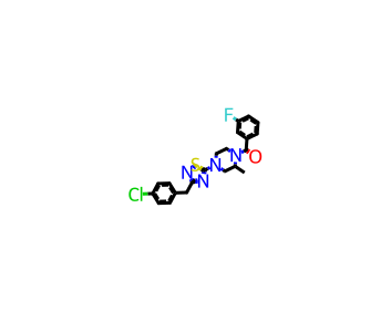 CC1CN(c2nc(Cc3ccc(Cl)cc3)ns2)CCN1C(=O)c1cccc(F)c1